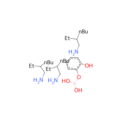 CCCCC(CC)CN.CCCCC(CC)CN.CCCCC(CC)CN.OB(O)Oc1ccccc1O